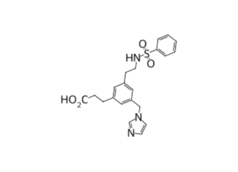 O=C(O)CCc1cc(CCNS(=O)(=O)c2ccccc2)cc(Cn2ccnc2)c1